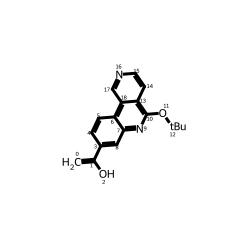 C=C(O)c1ccc2c(c1)nc(OC(C)(C)C)c1ccncc12